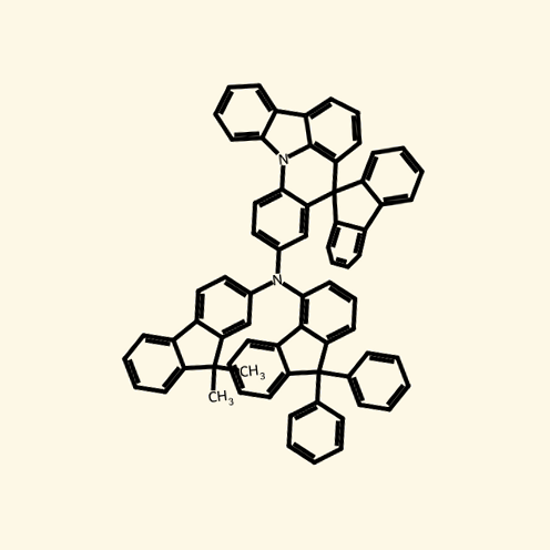 CC1(C)c2ccccc2-c2ccc(N(c3ccc4c(c3)C3(c5ccccc5-c5ccccc53)c3cccc5c6ccccc6n-4c35)c3cccc4c3-c3ccccc3C4(c3ccccc3)c3ccccc3)cc21